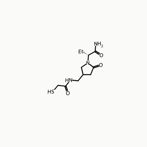 CC[C@H](C(N)=O)N1CC(CNC(=O)CS)CC1=O